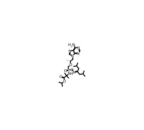 CC(C)CC(CC(C)C)=NOP(=O)(CO[C@H](C)Cn1cnc2c(N)ncnc21)NC(C)(C)C(=O)OC(C)C